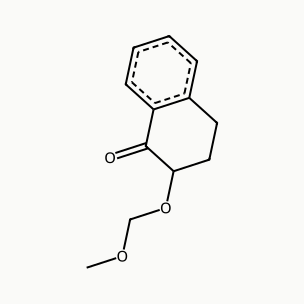 COCOC1CCc2ccccc2C1=O